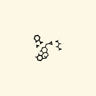 O=C(O)C(O)C(O)C(=O)O.O=c1c2ccccc2[nH]c(=S)n1[C@@H]1C(CC2CC2)C[C@@]2(O)[C@H]3Cc4ccc(O)c5c4[C@@]2(CCN3)[C@H]1O5